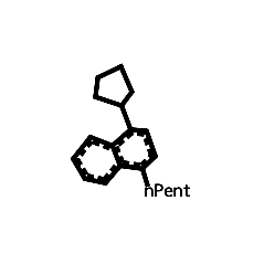 [CH2]CCCCc1ccc(C2CCCC2)c2ccccc12